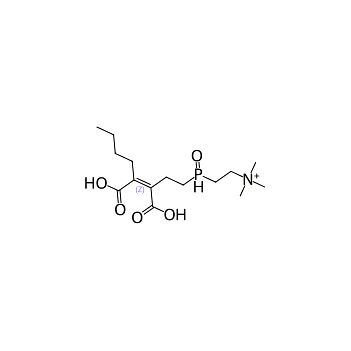 CCCC/C(C(=O)O)=C(\CC[PH](=O)CC[N+](C)(C)C)C(=O)O